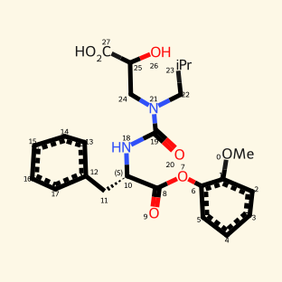 COc1ccccc1OC(=O)[C@H](Cc1ccccc1)NC(=O)N(CC(C)C)CC(O)C(=O)O